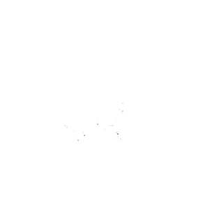 COCC(=O)N1CCc2c(sc(NC(=O)CCc3cc(OC)ccc3OC)c2C#N)C1